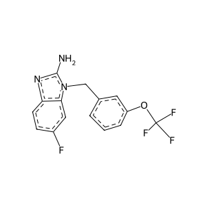 Nc1nc2ccc(F)cc2n1Cc1cccc(OC(F)(F)F)c1